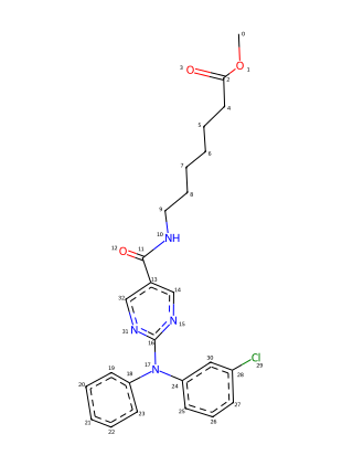 COC(=O)CCCCCCNC(=O)c1cnc(N(c2ccccc2)c2cccc(Cl)c2)nc1